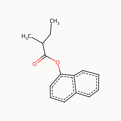 CC[C](C)C(=O)Oc1cccc2ccccc12